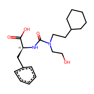 O=C(O)[C@H](Cc1ccccc1)NC(=O)N(CCO)CCC1CCCCC1